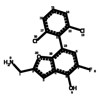 NCc1cc2c(O)c(F)cc(-c3c(Cl)cccc3Cl)c2o1